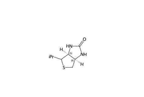 CC(C)C1SC[C@@H]2NC(=O)N[C@H]12